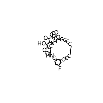 O=C1NCc2ccc(F)cc2OCC/C=C/CCCCCC(=O)N2[C@@H]3COCCN3C(=O)c3c(O)c(=O)c1cn32